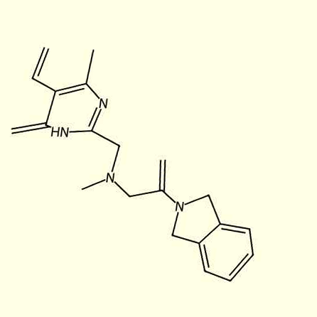 C=CC1=C(C)N=C(CN(C)CC(=C)N2Cc3ccccc3C2)NC1=C